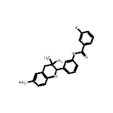 CC1(C)Cc2cc(C(=O)O)ccc2NC1c1cccc(NC(=O)c2cccc(F)c2)c1